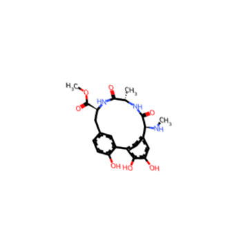 CN[C@@H]1C(=O)N[C@@H](C)C(=O)N[C@H](C(=O)OC)Cc2ccc(O)c(c2)-c2cc1cc(O)c2O